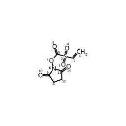 C=CS(=O)(=O)C(=O)ON1C(=O)CCC1=O